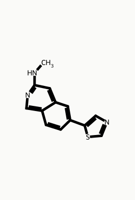 CNc1cc2cc(-c3cncs3)ccc2cn1